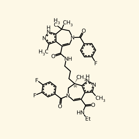 CCNC(=O)C1=CN(C(=O)c2ccc(F)c(F)c2)C[C@@](C)(CCCNC(=O)C2=CN(C(=O)c3ccc(F)cc3)CC(C)(C)c3[nH]nc(C)c32)c2[nH]nc(C)c21